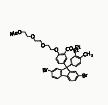 CCOC(=O)c1cc(C2(c3ccc(C)c(CC)c3)c3cc(Br)ccc3-c3ccc(Br)cc32)ccc1OCCOCCOCCOC